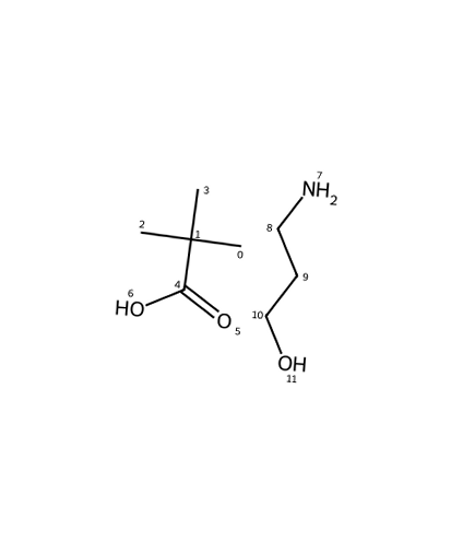 CC(C)(C)C(=O)O.NCCCO